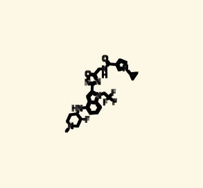 CN1CC[C@@H](Nc2cccc3c2cc(-c2noc(CNC(=O)c4ccn(C5CC5)c4)n2)n3CC(F)(F)F)[C@@H](F)C1